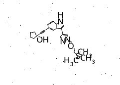 CS(C)(C)CCOCn1cc(-c2c[nH]c3ccc(C#CC4(O)CCCC4)cc23)cn1